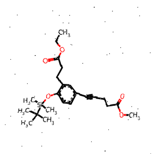 CCOC(=O)CCc1cc(C#CCCC(=O)OC)ccc1O[Si](C)(C)C(C)(C)C